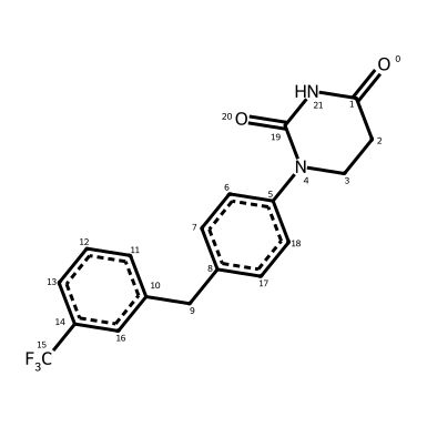 O=C1CCN(c2ccc(Cc3cccc(C(F)(F)F)c3)cc2)C(=O)N1